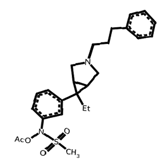 CCC1(c2cccc(N(OC(C)=O)S(C)(=O)=O)c2)C2CN(CCCc3ccccc3)CC21